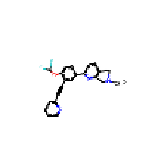 O=CN1Cc2ccc(-c3ccc(OC(F)F)c(C#Cc4ccccn4)c3)nc2C1